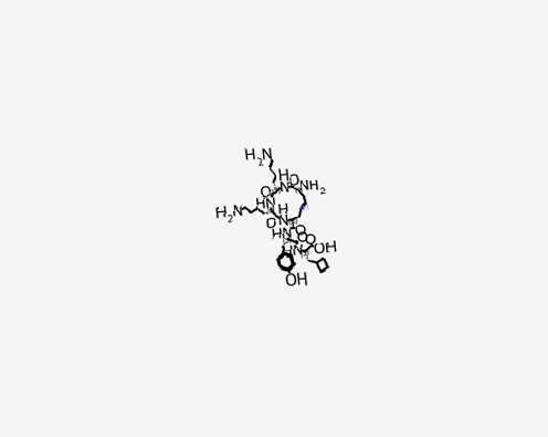 NCCCC[C@@H]1NC(=O)[C@H](CCCCN)NC(=O)[C@@H](N)C/C=C/C[C@@H](C(=O)N[C@@H](Cc2ccc(O)cc2)C(=O)N[C@@H](CC2CCC2)C(=O)O)NC1=O